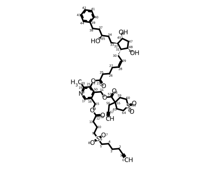 C#CCCCCS(=O)(=O)CCCC(=O)OCc1cnc(C)c(OC(=O)CCC/C=C\C[C@@H]2[C@@H](CC[C@@H](O)CCc3ccccc3)[C@H](O)C[C@@H]2O)c1COC(=O)C1(CC#C)CCS(=O)(=O)CC1